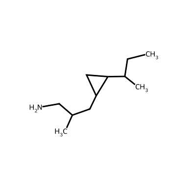 CCC(C)C1CC1CC(C)CN